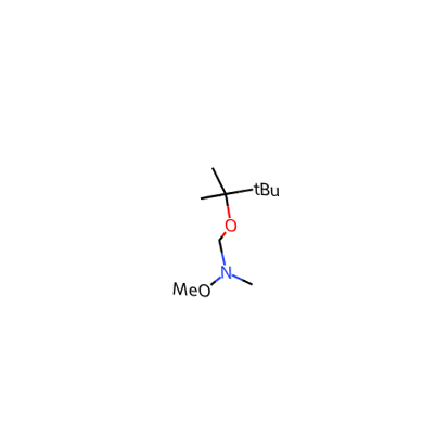 CON(C)COC(C)(C)C(C)(C)C